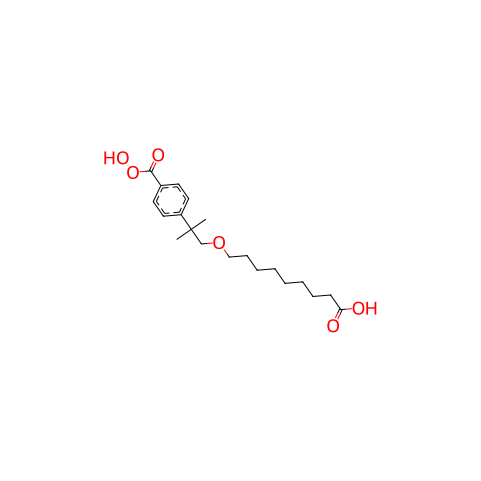 CC(C)(COCCCCCCCCC(=O)O)c1ccc(C(=O)OO)cc1